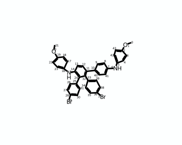 COc1ccc(Nc2ccc(-c3ccc(Nc4ccc(OC)cc4)c(-c4ccc(Br)cc4)c3-c3ccc(Br)cc3)cc2)cc1